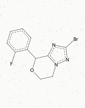 Fc1ccccc1C1OCCn2nc(Br)nc21